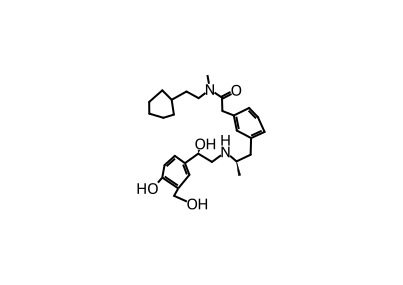 C[C@H](Cc1cccc(CC(=O)N(C)CCC2CCCCC2)c1)NC[C@@H](O)c1ccc(O)c(CO)c1